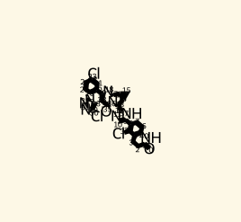 O=C1CCc2c(ccc(-c3cnc(C4C5CC5c5nc(-c6cc(Cl)ccc6-n6cc(Cl)nn6)cc(=O)n54)[nH]3)c2Cl)N1